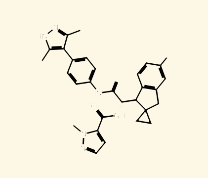 Cc1n[nH]c(C)c1-c1ccc(NC(=O)[C@@H](NC(=O)c2ccnn2C)C2c3ccc(F)cc3CC23CC3)cc1